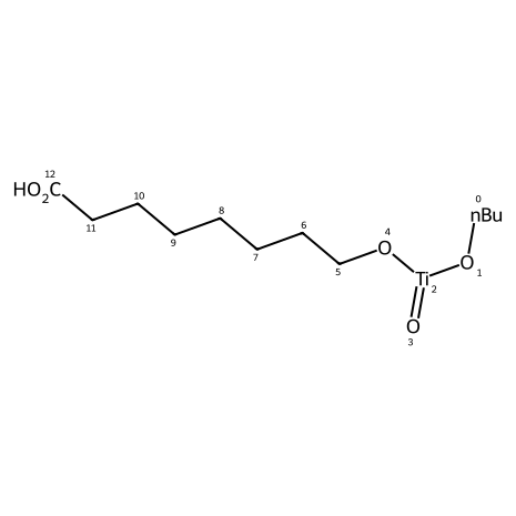 CCCC[O][Ti](=[O])[O]CCCCCCCC(=O)O